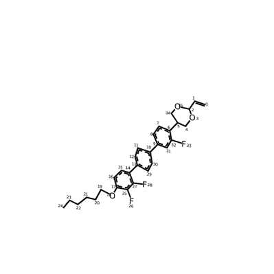 C=CC1OCC(c2ccc(-c3ccc(-c4ccc(OCCCCCC)c(F)c4F)cc3)cc2F)CO1